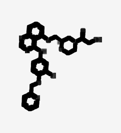 O=C(CO)N1CCO[C@@H](COc2cccc3ncnc(Nc4ccc(OCc5ccccn5)c(Cl)c4)c23)C1